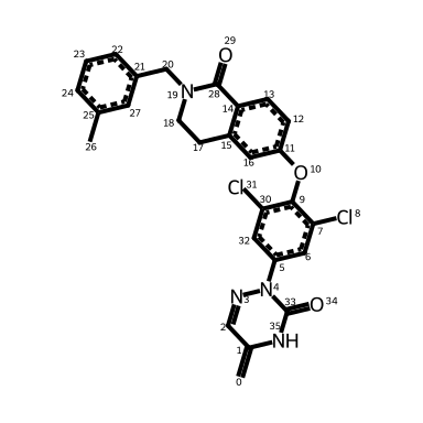 C=C1C=NN(c2cc(Cl)c(Oc3ccc4c(c3)CCN(Cc3cccc(C)c3)C4=O)c(Cl)c2)C(=O)N1